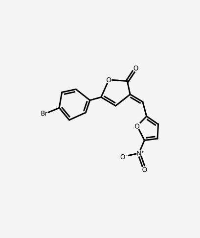 O=C1OC(c2ccc(Br)cc2)=CC1=Cc1ccc([N+](=O)[O-])o1